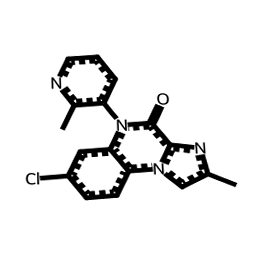 Cc1cn2c(n1)c(=O)n(-c1cccnc1C)c1cc(Cl)ccc12